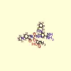 CC(=O)O.CCOC(C(=O)NCc1ccc(C(=N)N)cc1NCc1ccccc1F)N1Cc2ccc(N3CCCC3)cc2C1=O